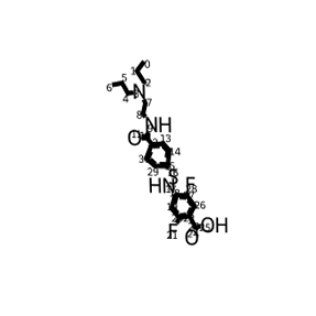 CCCN(CCC)CCNC(=O)c1ccc(SNc2cc(F)c(C(=O)O)cc2F)cc1